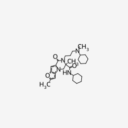 Cc1cc2c(cc3n2CC(C)(C(=O)NC2CCCCC2)N(CCCN(C)C2CCCCC2)C3=O)o1